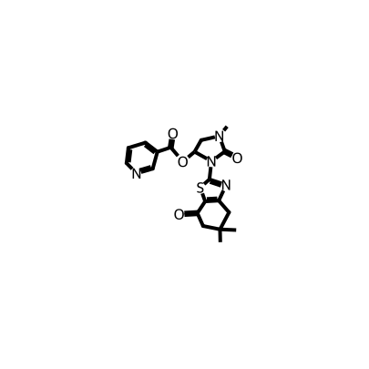 CN1CC(OC(=O)c2cccnc2)N(c2nc3c(s2)C(=O)CC(C)(C)C3)C1=O